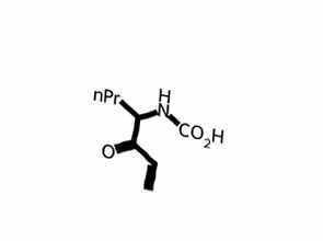 C=CC(=O)C(CCC)NC(=O)O